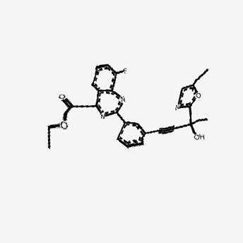 CCOC(=O)c1nc(-c2cccc(C#CC(C)(O)c3ncc(C)o3)c2)nc2c(F)cccc12